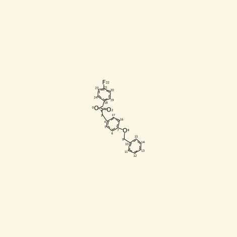 O=S(=O)(Cc1ccc(OCc2ccccc2)cc1)c1ccc(F)cc1